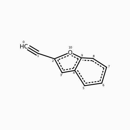 C#Cc1[c]c2ccccc2o1